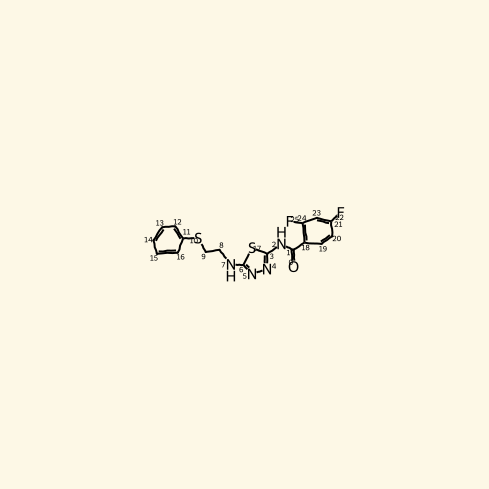 O=C(Nc1nnc(NCCSc2ccccc2)s1)c1ccc(F)cc1F